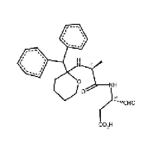 C[C@H](NC1(C(c2ccccc2)c2ccccc2)CCCCO1)C(=O)N[C@H](C=O)CC(=O)O